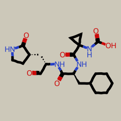 O=C[C@H](C[C@@H]1CCNC1=O)NC(=O)[C@H](CC1CCCCC1)NC(=O)C1(NC(=O)O)CC1